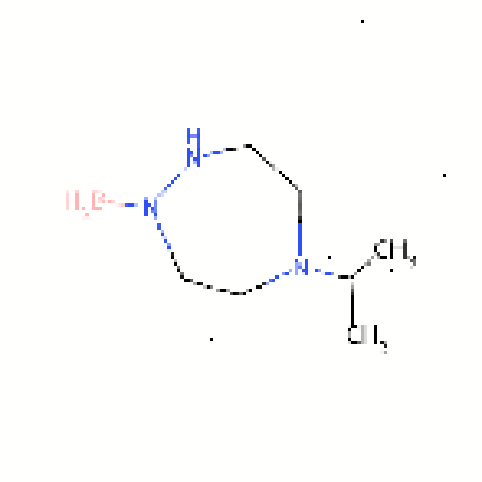 BN1CCN(C(C)C)CCN1